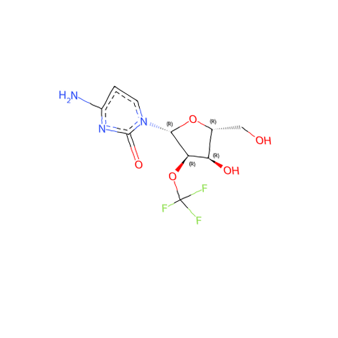 Nc1ccn([C@@H]2O[C@H](CO)[C@@H](O)[C@H]2OC(F)(F)F)c(=O)n1